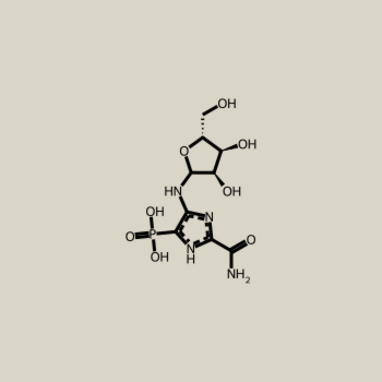 NC(=O)c1nc(NC2O[C@H](CO)[C@@H](O)[C@H]2O)c(P(=O)(O)O)[nH]1